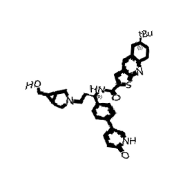 CC(C)(C)[C@H]1CCc2nc3sc(C(=O)N[C@H](CCN4CC5C(CO)C5C4)c4ccc(-c5ccc(=O)[nH]c5)cc4)cc3cc2C1